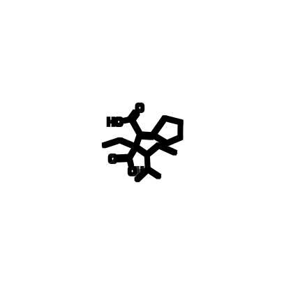 CCC(C(C)C)C(CC)(C(=O)O)C(C(=O)O)=C1CCCC1